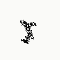 CCCCOc1nc(N2CCOCC2)nc2ccc(Oc3ccc(NC(=O)[C@@H]4CCCN4)cc3)cc12